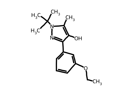 CCOc1cccc(-c2nn(C(C)(C)C)c(C)c2O)c1